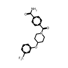 NC(=O)c1ccc(C(=O)N2CCC(Oc3cccc(C(F)(F)F)c3)CC2)cc1